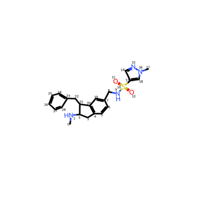 CNC1Cc2ccc(CNS(=O)(=O)c3cnn(C)c3)cc2C1Cc1ccccc1